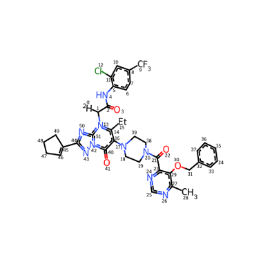 [2H]C(C(=O)Nc1ccc(C(F)(F)F)cc1Cl)n1c(CC)c(N2CCN(C(=O)c3ncnc(C)c3OCc3ccccc3)CC2)c(=O)n2nc(C3=CCCC3)nc12